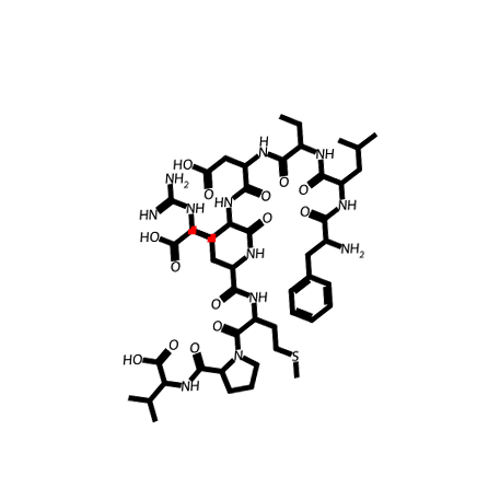 CCC(NC(=O)C(CC(C)C)NC(=O)C(N)Cc1ccccc1)C(=O)NC(CC(=O)O)C(=O)NC(CCC(=O)O)C(=O)NC(CCCNC(=N)N)C(=O)NC(CCSC)C(=O)N1CCCC1C(=O)NC(C(=O)O)C(C)C